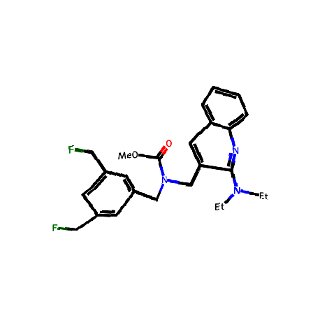 CCN(CC)c1nc2ccccc2cc1CN(Cc1cc(CF)cc(CF)c1)C(=O)OC